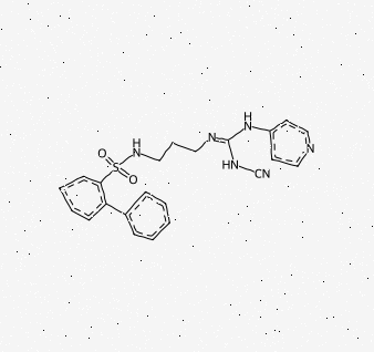 N#CN/C(=N\CCCNS(=O)(=O)c1ccccc1-c1ccccc1)Nc1ccncc1